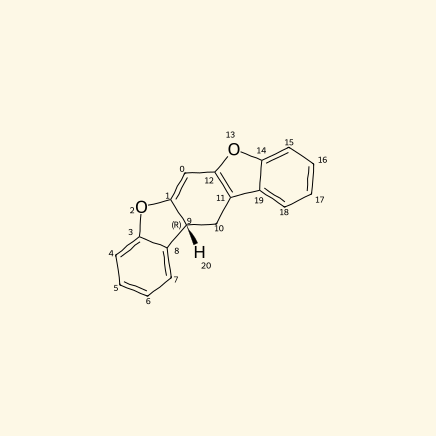 C1=C2Oc3ccccc3[C@H]2Cc2c1oc1ccccc21